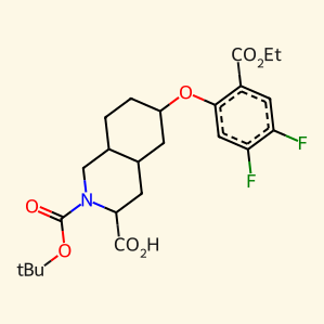 CCOC(=O)c1cc(F)c(F)cc1OC1CCC2CN(C(=O)OC(C)(C)C)C(C(=O)O)CC2C1